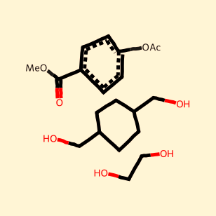 COC(=O)c1ccc(OC(C)=O)cc1.OCC1CCC(CO)CC1.OCCO